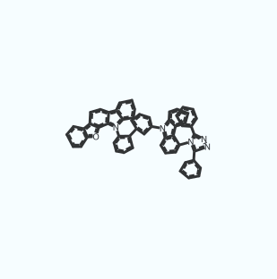 c1ccc(-c2nnc(-c3ccccc3)n2-c2cccc3c2c2ccccc2n3-c2cccc(-c3ccccc3-n3c4ccccc4c4ccc5c6ccccc6oc5c43)c2)cc1